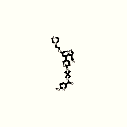 COc1ccc(C(=O)N2CC3(C2)CN(c2ccc(-c4cc(OCCN5CCOCC5)cn5ncc(C#N)c45)cn2)C3)cn1